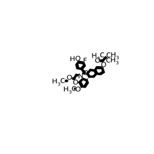 CCOC(=O)CN(C(=O)c1ccc(O)c(F)c1)C1C=C(OC)C=CC1[C@@H]1CCc2cc(OC(=O)C(C)(C)C)ccc2C1